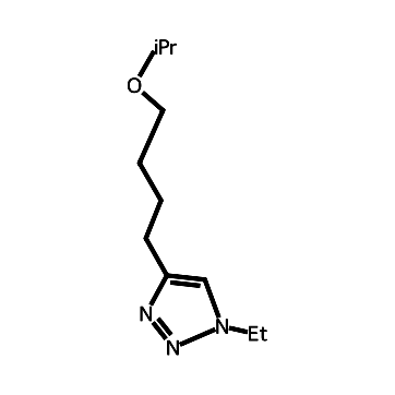 CCn1cc(CCCCOC(C)C)nn1